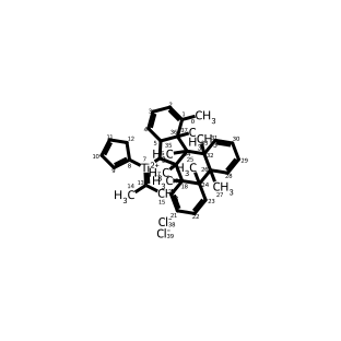 CC1=CC=CC2[CH]([Ti+2]([C]3=CC=CC3)=[C](C)C)C3(C)C4(C)C=CC=CC4(C)C4(C)C=CC=CC4(C)C3(C)C12C.[Cl-].[Cl-]